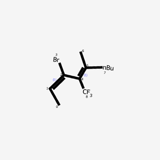 C/C=C(Br)\C(=C(/C)CCCC)C(F)(F)F